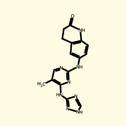 Cc1cnc(Nc2ccc3c(c2)CCC(=O)N3)nc1Nc1nc[nH]n1